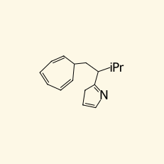 CC(C)C(CC1C=CC=CC=C1)C1=NC=CC1